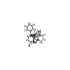 OC1(c2cccc(I)c2)[C@@H]2CCC[C@H]1CN(Cc1ccccc1)C2